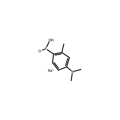 Cc1cc(N(C)C)ccc1P([O-])O.[Na+]